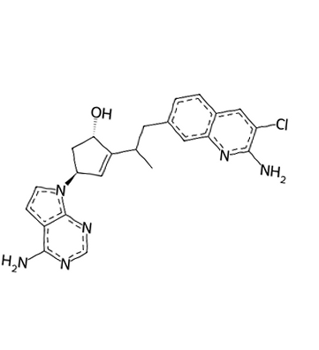 CC(Cc1ccc2cc(Cl)c(N)nc2c1)C1=C[C@@H](n2ccc3c(N)ncnc32)C[C@@H]1O